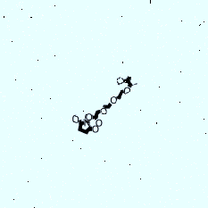 CC(=O)[C@H](C)OCCOCCOCC(=O)ON1C(=O)CCC1=O